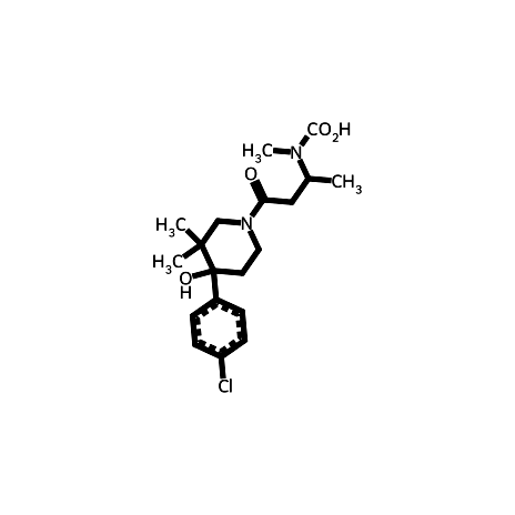 CC(CC(=O)N1CCC(O)(c2ccc(Cl)cc2)C(C)(C)C1)N(C)C(=O)O